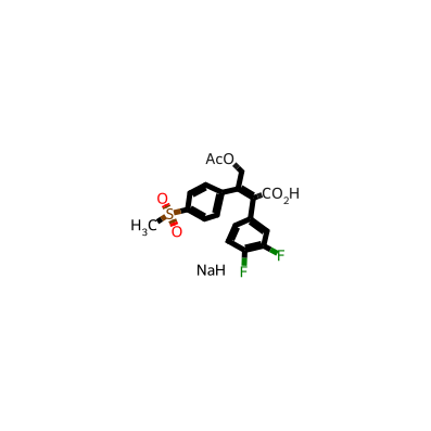 CC(=O)OCC(=C(C(=O)O)c1ccc(F)c(F)c1)c1ccc(S(C)(=O)=O)cc1.[NaH]